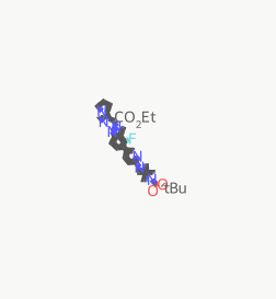 CCOC(=O)C(c1ncn2c1CCC2)n1cc2c(F)c(-c3ccc(N4CC5(CN(C(=O)OC(C)(C)C)C5)C4)nc3)ccc2n1